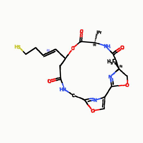 CC(C)[C@@H]1NC(=O)[C@]2(C)COC(=N2)c2coc(n2)CNC(=O)CC(/C=C/CCS)OC1=O